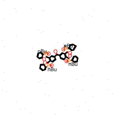 CCCCP(=O)(C(=O)c1ccc(C(=O)c2ccc(C(=O)P(=O)(CCCC)c3ccccc3)c(C(=O)P(=O)(CCCC)c3ccccc3)c2)cc1C(=O)P(=O)(CCCC)c1ccccc1)c1ccccc1